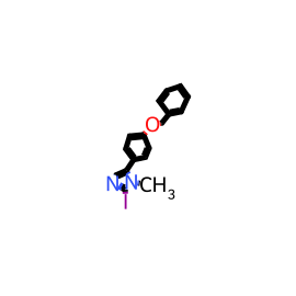 Cn1c(-c2ccc(OCc3ccccc3)cc2)cnc1I